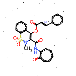 CN1C(C(=O)Nc2cccccc2=O)=C(OC(=O)/C=C/c2ccccc2)c2ccccc2S1(=O)=O